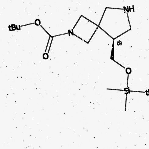 CC(C)(C)OC(=O)N1CC2(CNC[C@H]2CO[Si](C)(C)C(C)(C)C)C1